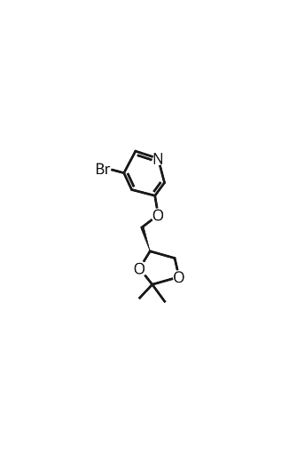 CC1(C)OC[C@H](COc2cncc(Br)c2)O1